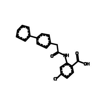 O=C(Cc1ccc(-c2ccccc2)cc1)Nc1cc(Cl)ccc1C(=O)O